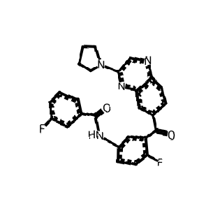 O=C(Nc1ccc(F)c(C(=O)c2ccc3ncc(N4CCCC4)nc3c2)c1)c1cccc(F)c1